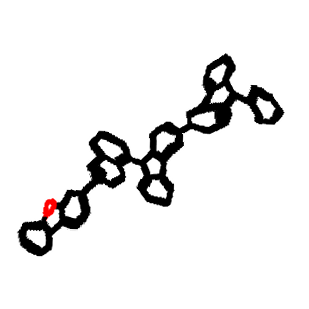 c1ccc(C2c3ccccc3-c3cc(-c4ccc5c(c4)-c4ccccc4C5c4cccc5cc(-c6ccc7c(c6)oc6ccccc67)ccc45)ccc32)cc1